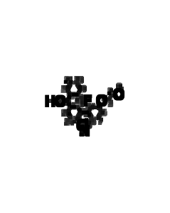 COCCOc1ccc(C#N)c(-c2cc(C(O)c3ccccc3)ccc2Cl)c1F